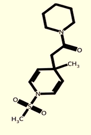 CC1(CC(=O)N2CCCCC2)C=CN(S(C)(=O)=O)C=C1